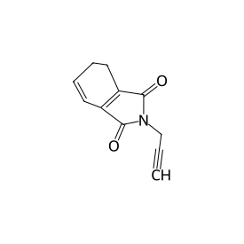 C#CCN1C(=O)C2=C(CCC=C2)C1=O